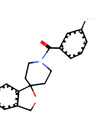 CC(=O)Nc1cccc(C(=O)N2CCC3(CC2)OCc2ccccc23)c1